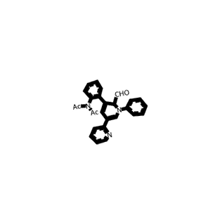 CC(=O)N(C(C)=O)c1ccccc1C1=CC(c2ccccn2)=CN(c2ccccc2)C1C=O